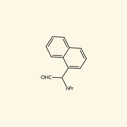 CCCC([C]=O)c1cccc2ccccc12